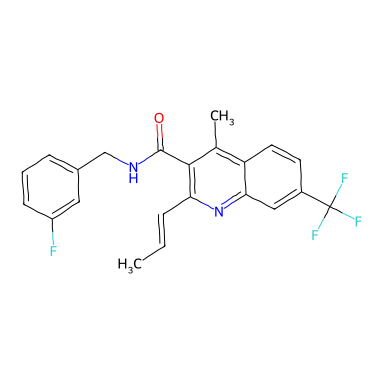 C/C=C/c1nc2cc(C(F)(F)F)ccc2c(C)c1C(=O)NCc1cccc(F)c1